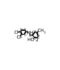 Cc1cc(I)c(O)c(CNc2ccc(Cl)c(Cl)c2)c1